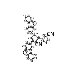 N#Cc1cccc(-c2cc(-c3ccc4c(c3)oc3ccccc34)cc(-c3ccc4oc5ccccc5c4c3)c2C#N)c1